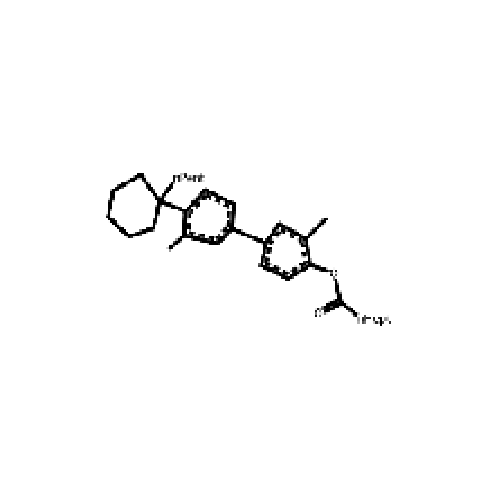 CCCCCCCC(=O)Oc1ccc(-c2ccc(C3(CCCCC)CCCCC3)c(C)c2)cc1C